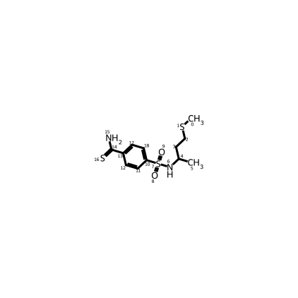 CSCCC(C)NS(=O)(=O)c1ccc(C(N)=S)cc1